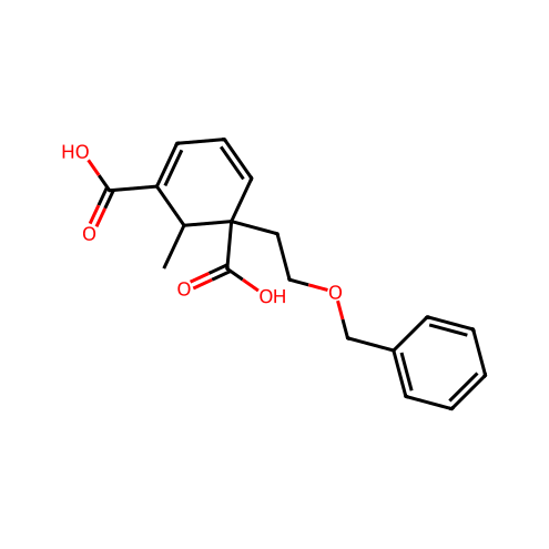 CC1C(C(=O)O)=CC=CC1(CCOCc1ccccc1)C(=O)O